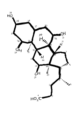 C[C@H](CCC(=O)O)[C@H]1CC[C@H]2[C@@H]3C(O)CC4CC(O)CC(O)[C@]4(C)[C@H]3CC(O)[C@]12C